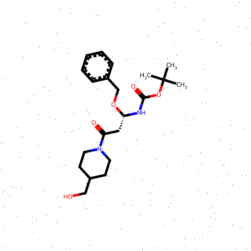 CC(C)(C)OC(=O)N[C@H](CC(=O)N1CCC(CO)CC1)OCc1ccccc1